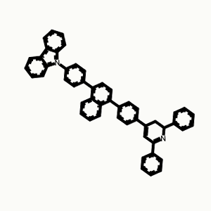 C1=C(c2ccc(-c3ccc(-c4ccc(-n5c6ccccc6c6ccccc65)cc4)c4ccccc34)cc2)CC(c2ccccc2)N=C1c1ccccc1